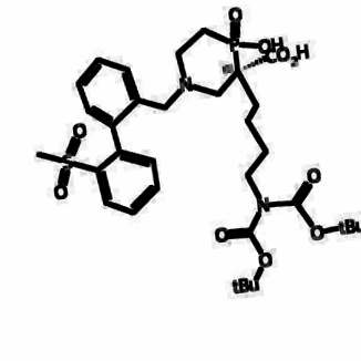 CC(C)(C)OC(=O)N(CCCC[C@@]1(C(=O)O)CN(Cc2ccccc2-c2ccccc2S(C)(=O)=O)CCP1(=O)O)C(=O)OC(C)(C)C